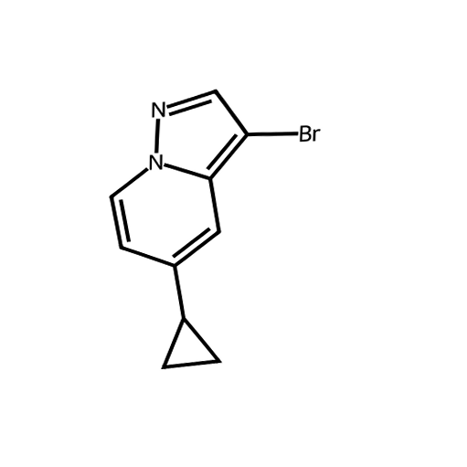 Brc1cnn2ccc(C3CC3)cc12